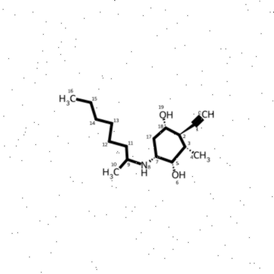 C#C[C@H]1[C@H](C)[C@H](O)[C@H](NC(C)CCCCCC)C[C@@H]1O